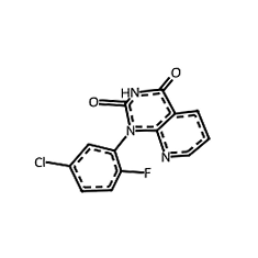 O=c1[nH]c(=O)n(-c2cc(Cl)ccc2F)c2ncccc12